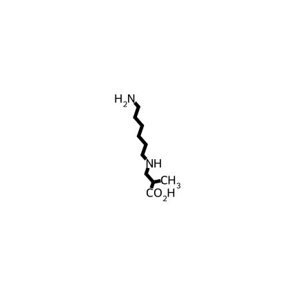 CC(CNCCCCCCN)C(=O)O